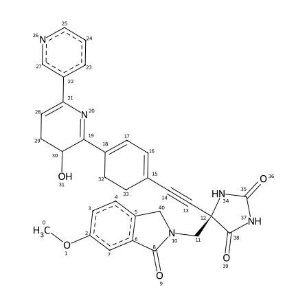 COc1ccc2c(c1)C(=O)N(C[C@@]1(C#CC3=CC=C(C4=NC(c5cccnc5)=CCC4O)CC3)NC(=O)NC1=O)C2